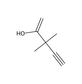 C#CC(C)(C)C(=C)O